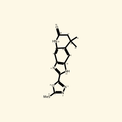 CSc1nnc(-c2nc3cc4c(cc3[nH]2)C(C)(C)CC(=O)N4)o1